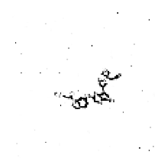 C=CC(=O)N1CCc2ccc(Nc3cnc4[nH]cc(-c5cnn(C6(CC#N)COC6)c5)c4n3)cc21